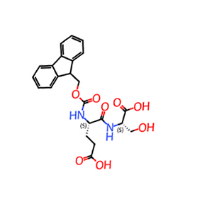 O=C(O)CC[C@H](NC(=O)OCC1c2ccccc2-c2ccccc21)C(=O)N[C@@H](CO)C(=O)O